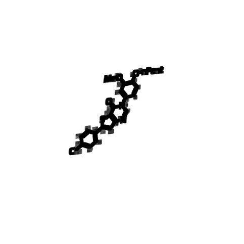 CCCCCOc1ccc(-n2cnc3cc(-c4ccc(Cl)cc4)sc3c2=O)cc1OC